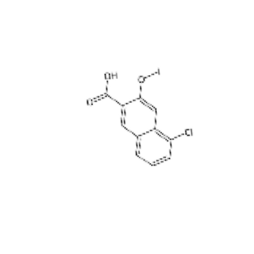 O=C(O)c1cc2cccc(Cl)c2cc1OI